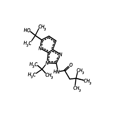 CC(C)(C)CC(=O)Nc1nc2ccc(C(C)(C)O)nc2n1C(C)(C)C